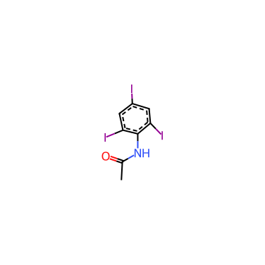 CC(=O)Nc1c(I)cc(I)cc1I